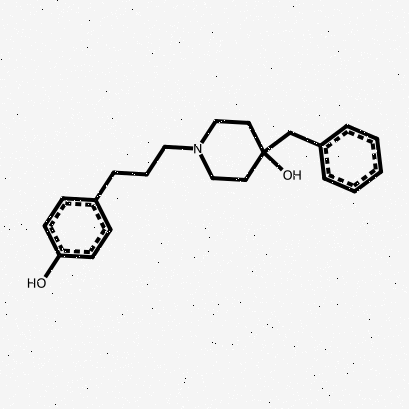 Oc1ccc(CCCN2CCC(O)(Cc3ccccc3)CC2)cc1